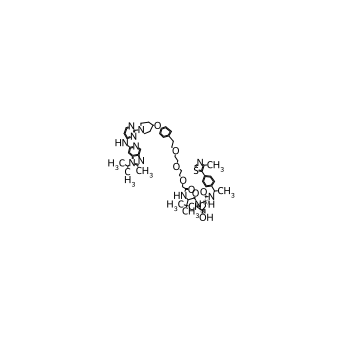 Cc1ncsc1-c1ccc(C(C)NC(=O)[C@@H]2C[C@@H](O)CN2C(=O)C(NC(=O)COCCOCCOCCc2ccc(OC3CCN(c4nccc(Nc5cc6c(cn5)nc(C)n6C(C)C)n4)CC3)cc2)C(C)(C)C)cc1